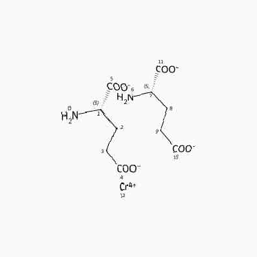 N[C@@H](CCC(=O)[O-])C(=O)[O-].N[C@@H](CCC(=O)[O-])C(=O)[O-].[Cr+4]